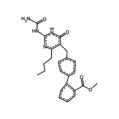 CCCCc1nc(NC(N)=O)[nH]c(=O)c1Cc1ccc(-c2ccccc2C(=O)OC)cc1